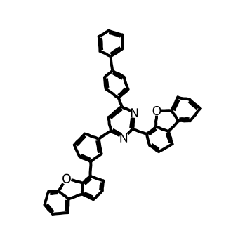 c1ccc(-c2ccc(-c3cc(-c4cccc(-c5cccc6c5oc5ccccc56)c4)nc(-c4cccc5c4oc4ccccc45)n3)cc2)cc1